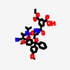 CCOC(=O)c1cc(C(=O)O)cc(C(=O)NCC(COC(c2ccccc2)(c2ccc(OC)cc2)c2ccc(OC)cc2)OP(OCCC#N)N(C(C)C)C(C)C)c1